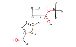 CC(=O)c1ccc(CC2(C(=O)OC(C)(C)C)CCC2)s1